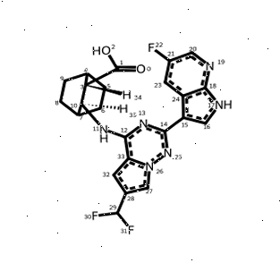 O=C(O)[C@H]1C2CCC(CC2)[C@@H]1Nc1nc(-c2c[nH]c3ncc(F)cc23)nn2cc(C(F)F)cc12